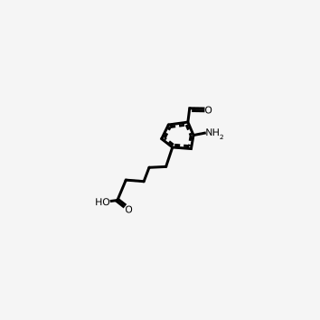 Nc1cc(CCCCC(=O)O)ccc1C=O